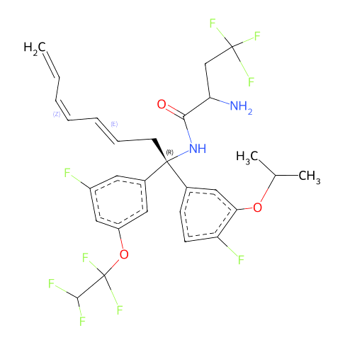 C=C/C=C\C=C\C[C@](NC(=O)C(N)CC(F)(F)F)(c1cc(F)cc(OC(F)(F)C(F)F)c1)c1ccc(F)c(OC(C)C)c1